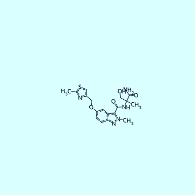 Cc1nc(COc2ccc3nn(C)c(C(=O)NC(C)(CO)C(N)=O)c3c2)cs1